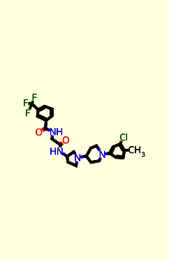 Cc1ccc(N2CCC(N3CCC(NC(=O)CNC(=O)c4cccc(C(F)(F)F)c4)C3)CC2)cc1Cl